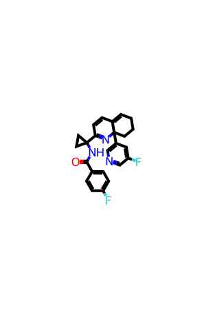 O=C(NC1(C2=NC3(c4cncc(F)c4)CCCC=C3C=C2)CC1)c1ccc(F)cc1